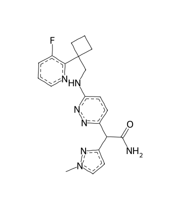 Cn1ccc(C(C(N)=O)c2ccc(NCC3(c4ncccc4F)CCC3)nn2)n1